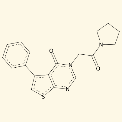 O=C(Cn1cnc2scc(-c3ccccc3)c2c1=O)N1CCCC1